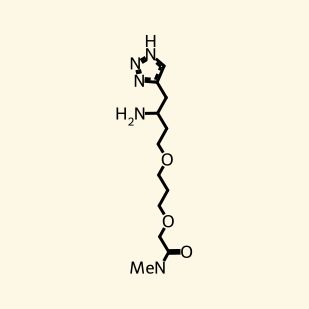 CNC(=O)COCCCOCCC(N)Cc1c[nH]nn1